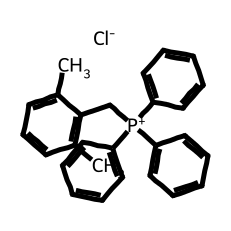 Cc1cccc(C)c1C[P+](c1ccccc1)(c1ccccc1)c1ccccc1.[Cl-]